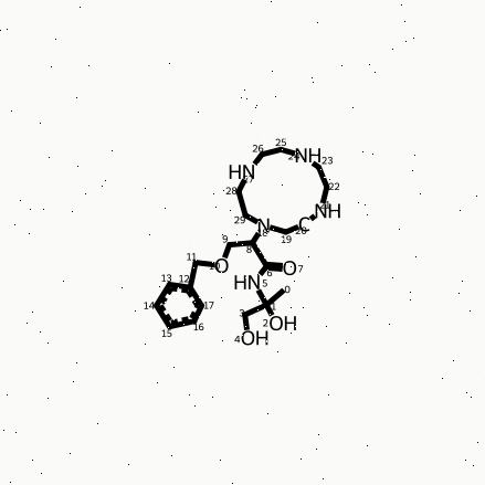 CC(O)(CO)NC(=O)C(COCc1ccccc1)N1CCNCCNCCNCC1